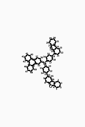 c1ccc2c(c1)oc1ccc(-c3ccc(N(c4ccc(-c5cccc6c5sc5ccccc56)cc4)c4ccc5c6ccccc6c6ccccc6c5c4)cc3)cc12